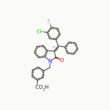 O=C(O)c1cccc(CN2C(=O)/C(=C(\c3ccccc3)c3ccc(F)c(Cl)c3)c3ccccc32)c1